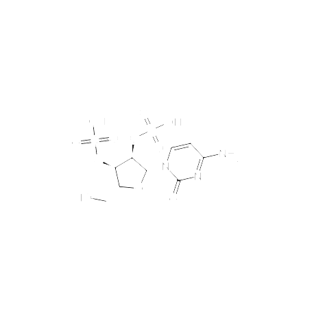 Nc1ccn([C@@H]2O[C@H](CO)[C@@H](OS(=O)(=O)O)[C@H]2OS(=O)(=O)O)c(=O)n1